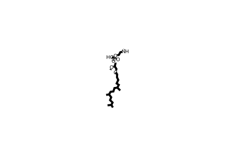 CNCCOP(=O)(O)OCC(COCCCCCC(C)CCCC(C)CCCC(C)C)OC